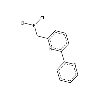 ClP(Cl)Cc1cccc(-c2ccccn2)n1